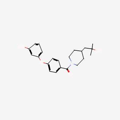 CC(C)(O)CC1CCN(C(=O)c2ccc(Oc3cccc(O)c3)cc2)CC1